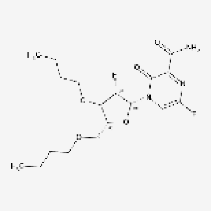 CCCCOC[C@H]1O[C@@H](n2cc(F)nc(C(N)=O)c2=O)[C@@H](F)C1OCCCC